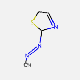 N#CN=NC1N=CCS1